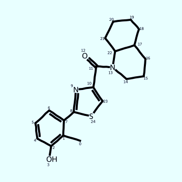 Cc1c(O)cccc1-c1nc(C(=O)N2CCCC3CCCCC32)cs1